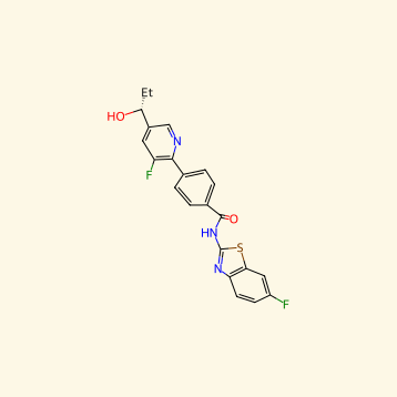 CC[C@@H](O)c1cnc(-c2ccc(C(=O)Nc3nc4ccc(F)cc4s3)cc2)c(F)c1